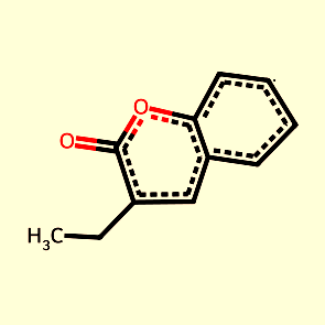 CCc1cc2cc[c]cc2oc1=O